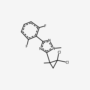 Cn1nc(-c2c(F)cccc2F)nc1C1(C)CC1(Cl)Cl